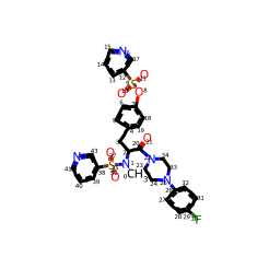 CN(C(Cc1ccc(OS(=O)(=O)c2cccnc2)cc1)C(=O)N1CCN(c2ccc(F)cc2)CC1)S(=O)(=O)c1cccnc1